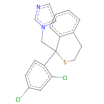 Clc1ccc(C2(Cn3ccnc3)SCCc3ccccc32)c(Cl)c1